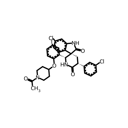 CC(=O)N1CCC(Oc2ccc(I)cc2[C@H]2NC(=O)[C@@H](c3cccc(Cl)c3)C[C@]23C(=O)Nc2cc(Cl)ccc23)CC1